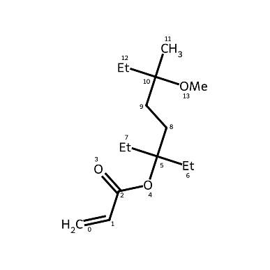 C=CC(=O)OC(CC)(CC)CCC(C)(CC)OC